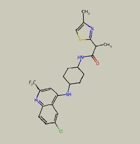 Cc1csc(C(C)C(=O)NC2CCC(Nc3cc(C(F)(F)F)nc4ccc(Cl)cc34)CC2)n1